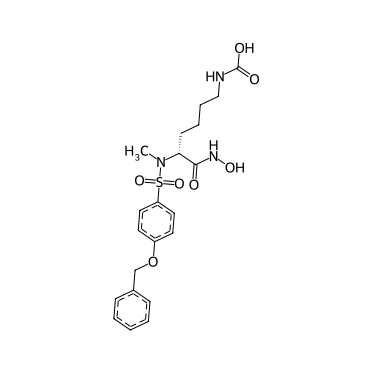 CN([C@H](CCCCNC(=O)O)C(=O)NO)S(=O)(=O)c1ccc(OCc2ccccc2)cc1